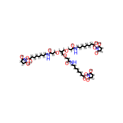 O=C(CCOCC(COCCC(=O)NCCCCCCCC(=O)ON1C(=O)CCC1=O)COCCC(=O)NCCCCCCCC(=O)ON1C(=O)CCC1=O)NCCCCCCCC(=O)ON1C(=O)CCC1=O